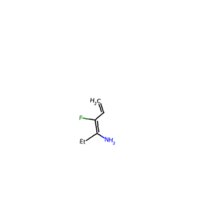 C=C/C(F)=C(\N)CC